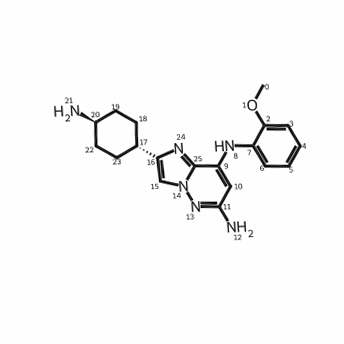 COc1ccccc1Nc1cc(N)nn2cc([C@H]3CC[C@H](N)CC3)nc12